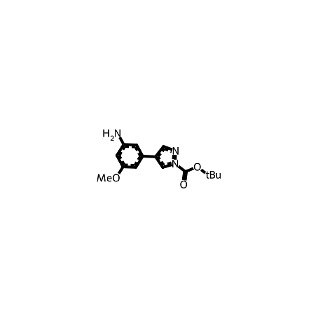 COc1cc(N)cc(-c2cnn(C(=O)OC(C)(C)C)c2)c1